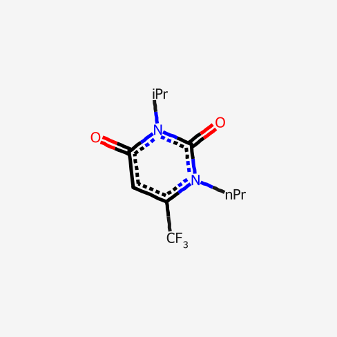 CCCn1c(C(F)(F)F)cc(=O)n(C(C)C)c1=O